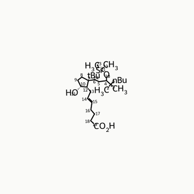 CCCCC(C)(C)C(CCC1CC[C@@H](O)[C@@H]1CC=CCCCC(=O)O)O[Si](C)(C)C(C)(C)C